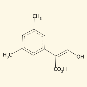 Cc1cc(C)cc(C(=CO)C(=O)O)c1